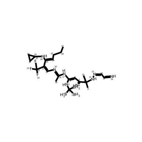 BC(B)(B)N/C(=C\C(=N)C(C)(C)N/N=C\C=N)N/C(C)=N/C=C(\C(=C\CCC)NC1CC1)C(F)(F)F